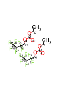 CCOC(=O)OCC(F)(F)C(F)C(F)(F)F.CCOC(=O)OCC(F)(F)C(F)C(F)(F)F